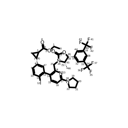 CCOC(=O)C1C[C@H]1c1ccc(I)c(-c2ccc(N3CCCC3)nc2CN2C(=O)O[C@H](c3cc(C(F)(F)F)cc(C(F)(F)F)c3)[C@@H]2C)c1